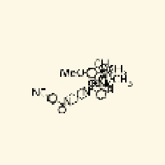 COc1cc(C)c(S(=O)(=O)N(C)C(C)c2nc3cccc(C(=O)N4CCC5(CCN(C(=O)c6ccc(C#N)cc6)CC5)CC4)c3[nH]2)c(C)c1